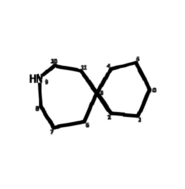 C1CCC2(CC1)CCCNCC2